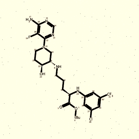 CC(C)(C)OC(=O)[C@@H](CCCN[C@H]1CN(c2ncnc(N)c2F)CC[C@@H]1O)Nc1cc(Cl)cc(C(F)(F)F)c1